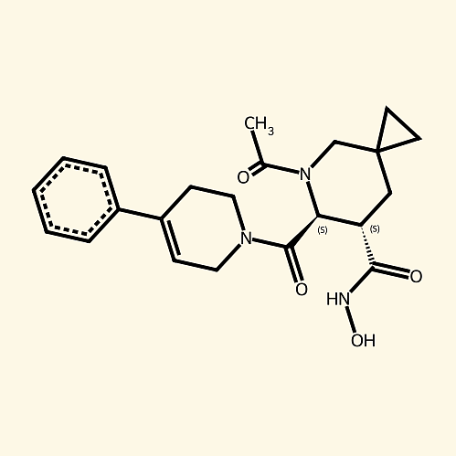 CC(=O)N1CC2(CC2)C[C@H](C(=O)NO)[C@H]1C(=O)N1CC=C(c2ccccc2)CC1